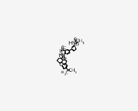 CC(C)c1ccc2c(c1)CC[C@H]1[C@@](C)(CNc3ccc(-c4cccc(NS(C)(=O)=O)c4)cc3[N+](=O)[O-])CCC[C@]21C